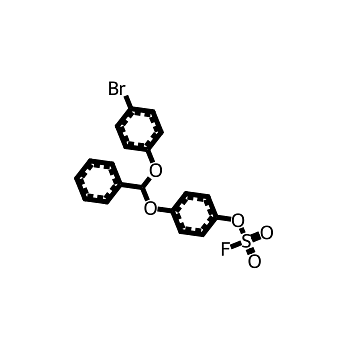 O=S(=O)(F)Oc1ccc(OC(Oc2ccc(Br)cc2)c2ccccc2)cc1